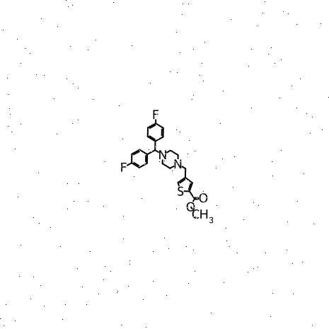 COC(=O)c1cc(CN2CCN(C(c3ccc(F)cc3)c3ccc(F)cc3)CC2)cs1